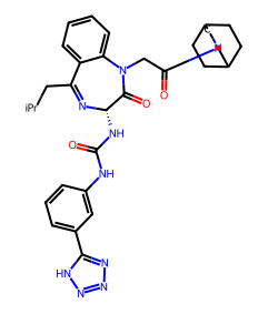 CC(C)CC1=N[C@@H](NC(=O)Nc2cccc(-c3nnn[nH]3)c2)C(=O)N(CC(=O)N2CC3CCC(CC3)C2)c2ccccc21